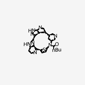 CCCCC(=O)n1c2cncc(c2)c2cnc3[nH]nc(c4nc5c(ccnc5c5ccc1s5)[nH]4)c3c2